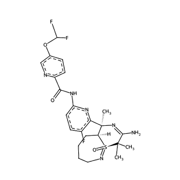 CC1(C)C(N)=N[C@](C)(c2nc(NC(=O)c3ccc(OC(F)F)cn3)ccc2F)[C@@H]2CCCCN=[S@]21=O